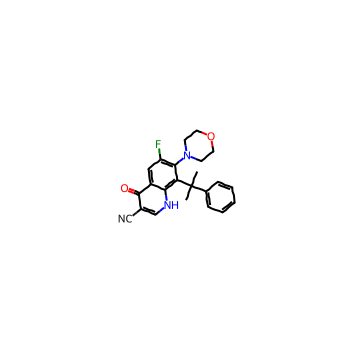 CC(C)(c1ccccc1)c1c(N2CCOCC2)c(F)cc2c(=O)c(C#N)c[nH]c12